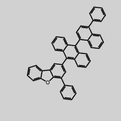 c1ccc(-c2ccc(-c3c4ccccc4c(-c4cc(-c5ccccc5)c5oc6ccccc6c5c4)c4ccccc34)c3ccccc23)cc1